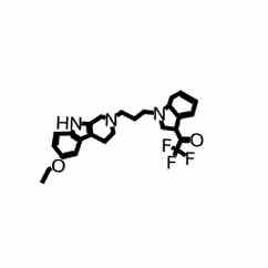 CCOc1ccc2[nH]c3c(c2c1)CCN(CCCN1CC(C(=O)C(F)(F)F)C2=CC=CCC21)C3